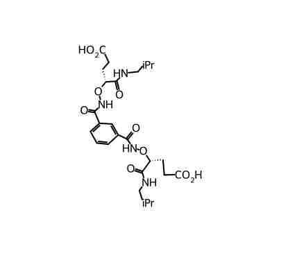 CC(C)CNC(=O)[C@@H](CCC(=O)O)ONC(=O)c1cccc(C(=O)NO[C@H](CCC(=O)O)C(=O)NCC(C)C)c1